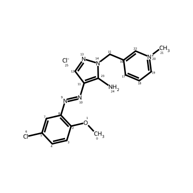 COc1ccc(Cl)cc1/N=N/c1cnn(Cc2ccc[n+](C)c2)c1N.[Cl-]